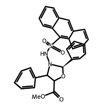 COC(=O)C1O[C@H](c2ccccc2)N(NS(=O)(=O)c2c3ccccc3cc3ccccc23)C1c1ccccc1